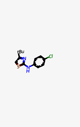 CC(C)(C)c1csc(Nc2ccc(Cl)cc2)n1